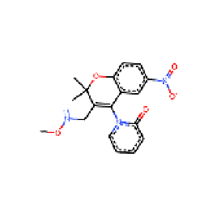 CONCC1=C(n2ccccc2=O)c2cc([N+](=O)[O-])ccc2OC1(C)C